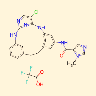 Cn1cncc1C(=O)Nc1cc2cc(c1)Nc1nc(ncc1Cl)Nc1cccc(c1)CC2.O=C(O)C(F)(F)F